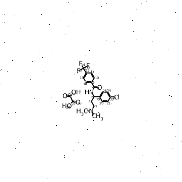 CN(C)CCC(NC(=O)c1ccc(C(F)(F)F)cc1)c1ccc(Cl)cc1.O=C(O)C(=O)O